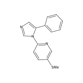 CSc1ccc(-n2cncc2-c2ccccc2)nc1